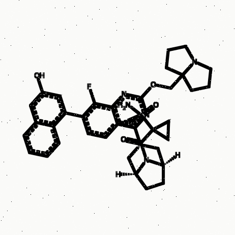 NS(=O)(=O)C1(C(=O)N2[C@@H]3CC[C@H]2CN(c2nc(OCC45CCCN4CCC5)nc4c(F)c(-c5cc(O)cc6ccccc56)ccc24)C3)CC1